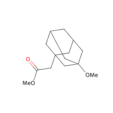 COC(=O)CC12CC3CC(C1)CC(OC)(C3)C2